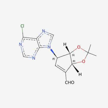 CC1(C)O[C@@H]2[C@H](O1)C(C=O)=C[C@H]2n1cnc2c(Cl)ncnc21